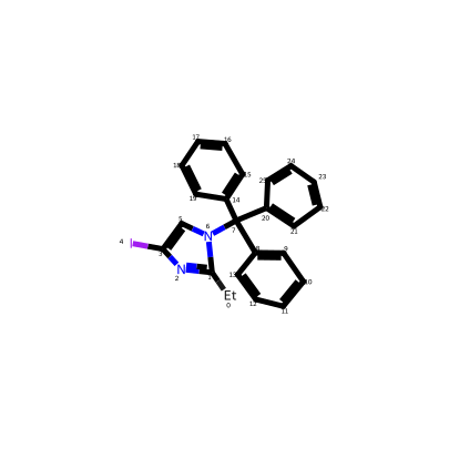 CCc1nc(I)cn1C(c1ccccc1)(c1ccccc1)c1ccccc1